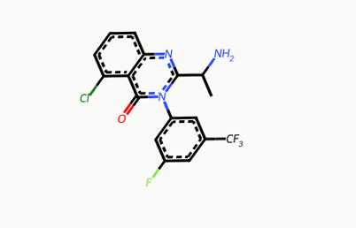 CC(N)c1nc2cccc(Cl)c2c(=O)n1-c1cc(F)cc(C(F)(F)F)c1